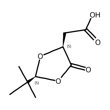 CC(C)(C)[C@@H]1OC(=O)[C@H](CC(=O)O)O1